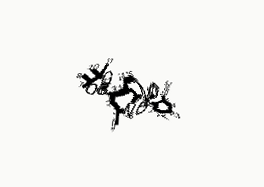 Cc1cc(B2OC(C)(C)C(C)(C)O2)c2ccn(S(=O)(=O)c3ccccc3C)c2n1